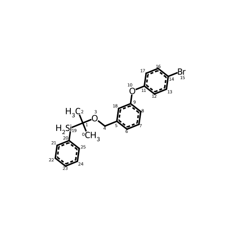 CC(C)(OCc1cccc(Oc2ccc(Br)cc2)c1)[SiH2]c1ccccc1